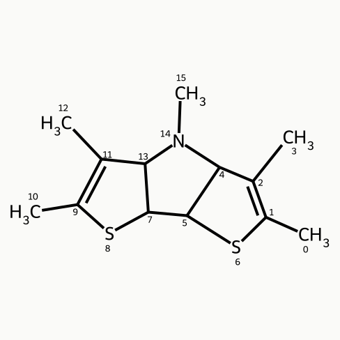 CC1=C(C)C2C(S1)C1SC(C)=C(C)C1N2C